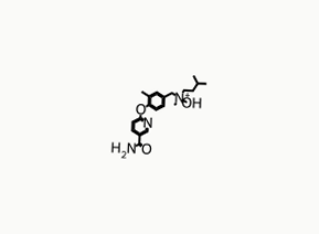 Cc1cc(C[N+](C)(O)CCC(C)C)ccc1Oc1ccc(C(N)=O)cn1